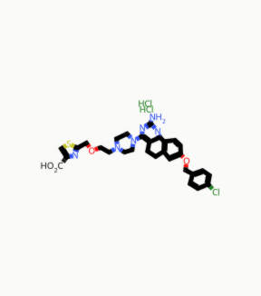 Cl.Cl.Nc1nc2c(c(N3CCN(CCOCc4nc(C(=O)O)cs4)CC3)n1)CCc1cc(OCc3ccc(Cl)cc3)ccc1-2